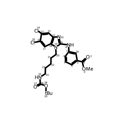 COC(=O)c1cccc(Nc2nc3cc(Cl)c(Cl)cc3n2CCCCCNC(=O)OC(C)(C)C)c1